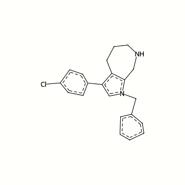 Clc1ccc(-c2cn(Cc3ccccc3)c3c2CCCNC3)cc1